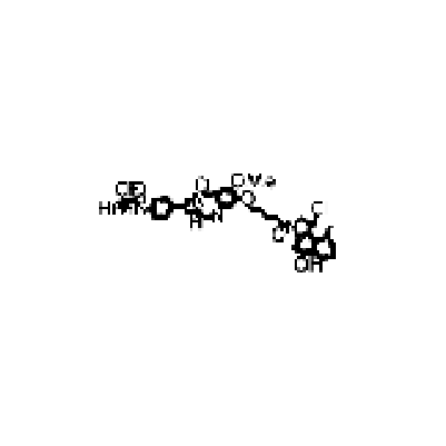 COc1cc2c(cc1OCCCCC(=O)N1C[C@@H](CCl)c3c1cc(O)c1cccc(C)c31)N=C[C@@H]1CC(c3ccc(NC(=O)[C@@H](O)C(F)(F)F)cc3)=CN1C2=O